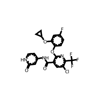 O=C(Nc1cc[nH]c(=O)c1)c1cc(Cl)c(C(F)(F)F)nc1Oc1ccc(F)cc1OC1CC1